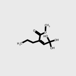 CCCC(=CC(O)(O)O)C(=O)OC